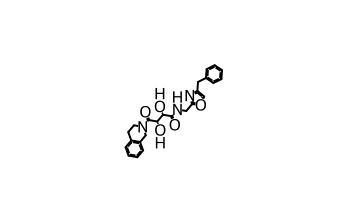 O=C(NCc1nc(Cc2ccccc2)co1)[C@H](O)[C@@H](O)C(=O)N1CCc2ccccc2C1